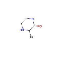 CCC1NCC[N]C1=O